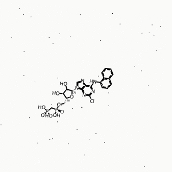 O=P(O)(O)CP(=O)(O)OC[C@H]1O[C@@H](n2cnc3c(Nc4cccc5ccccc45)nc(Cl)nc32)C(O)C1O